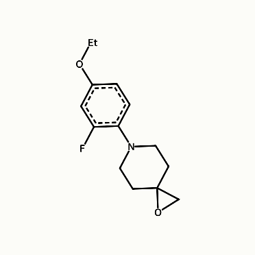 CCOc1ccc(N2CCC3(CC2)CO3)c(F)c1